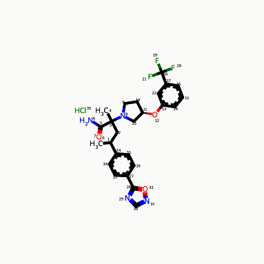 CC(CC(C)(C(N)=O)N1CC[C@@H](Oc2cccc(C(F)(F)F)c2)C1)c1ccc(-c2ncno2)cc1.Cl